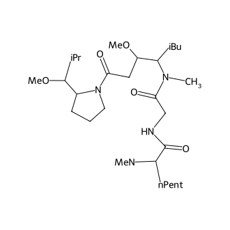 CCCCCC(NC)C(=O)NCC(=O)N(C)C(C(C)CC)C(CC(=O)N1CCCC1C(OC)C(C)C)OC